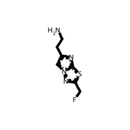 NCCc1cn2nc(CF)sc2n1